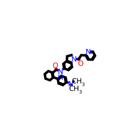 CN(C)c1ccc(C2=C(C(=O)Nc3ccc4c(c3)CCN4C(=O)Cc3ccccn3)CCCC2)cc1